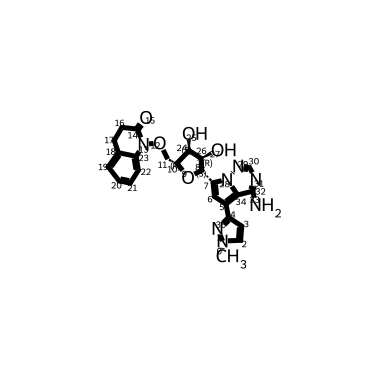 Cn1ccc(-c2cc([C@@H]3O[C@H](CON4C(=O)CCc5ccccc54)[C@@H](O)[C@H]3O)n3ncnc(N)c23)n1